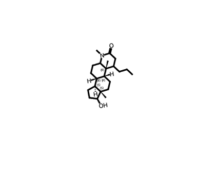 CCCC1CC(=O)N(C)C2CC[C@@H]3[C@@H](CC[C@]4(C)C(O)CC[C@@H]34)[C@@]12C